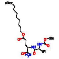 CCCCCCCCCCCCCCCCCCOC(=O)CC[C@@H](NC(=O)[C@@H](NC(=O)OC(C)(C)C)C(C)C)C(N)=O